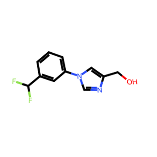 OCc1cn(-c2cccc(C(F)F)c2)cn1